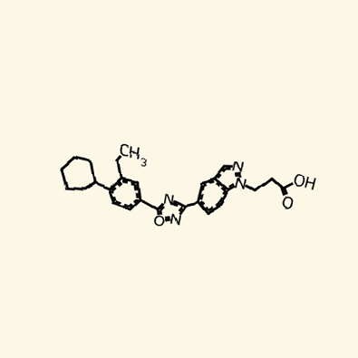 CCc1cc(-c2nc(-c3ccc4c(cnn4CCC(=O)O)c3)no2)ccc1C1CCCCC1